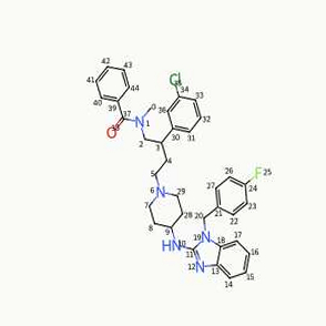 CN(CC(CCN1CCC(Nc2nc3ccccc3n2Cc2ccc(F)cc2)CC1)c1cccc(Cl)c1)C(=O)c1ccccc1